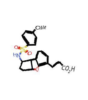 COc1ccc(S(=O)(=O)NC2CCC3Oc4c(C=CC(=O)O)cccc4C23)cc1